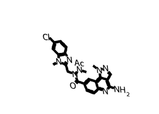 CC(=O)N(C)N(Cc1nc2ccc(Cl)cc2n1C)C(=O)c1ccc2nc(N)c3cnn(C)c3c2c1